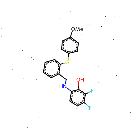 COc1ccc(Sc2ccccc2CNc2ccc(F)c(F)c2O)cc1